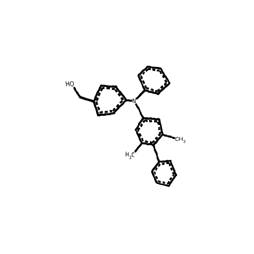 Cc1cc(N(c2ccccc2)c2ccc(CO)cc2)cc(C)c1-c1ccccc1